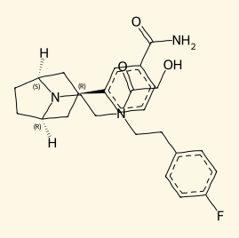 NC(=O)c1cccc([C@H]2C[C@H]3CC[C@@H](C2)N3CCN(CCc2ccc(F)cc2)C(=O)CO)c1